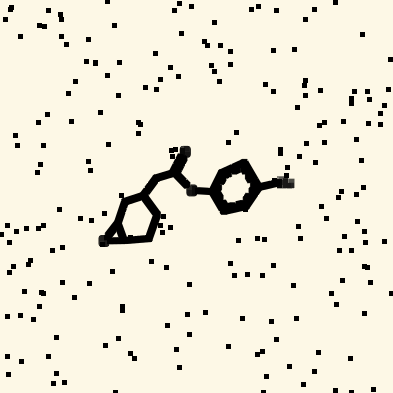 CCC(C)c1ccc(OC(=O)CC2CCC3OC3C2)cc1